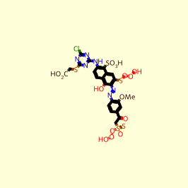 COc1cc(C(=O)CS(=O)(=S)OOO)ccc1N=Nc1c(SOOO)cc2c(S(=O)(=O)O)c(Nc3nc(Cl)nc(SCC(=O)O)n3)ccc2c1O